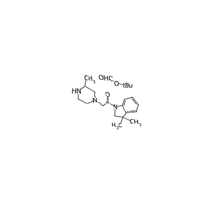 CC(C)(C)OC=O.CC1CN(CC(=O)N2CC(C)(C)c3ccccc32)CCN1